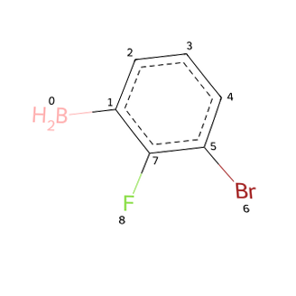 Bc1cccc(Br)c1F